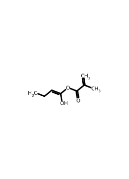 C=C(C)C(=O)O/C(O)=C/CC